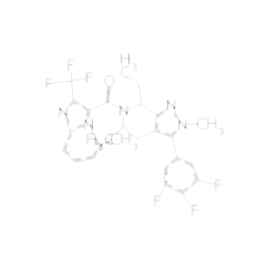 CCC1c2nn(C)c(-c3cc(F)c(F)c(F)c3)c2CC(C)N1C(=O)c1c(C(F)(F)F)nc2cccc(C)n12